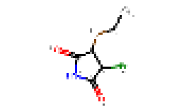 CCSC1C(=O)NC(=O)C1Br